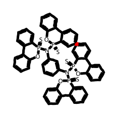 S=P1(N(c2cccc(N(P3(=S)Oc4ccccc4-c4ccccc43)P3(=S)Oc4ccccc4-c4ccccc43)c2)P2(=S)Oc3ccccc3-c3ccccc32)Oc2ccccc2-c2ccccc21